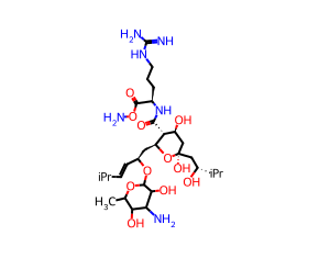 CC(C)/C=C/[C@@H](C[C@@H]1O[C@](O)(C[C@@H](O)C(C)C)C[C@H](O)[C@H]1C(=O)N[C@H](CCCNC(=N)N)C(=O)ON)OC1OC(C)C(O)C(N)C1O